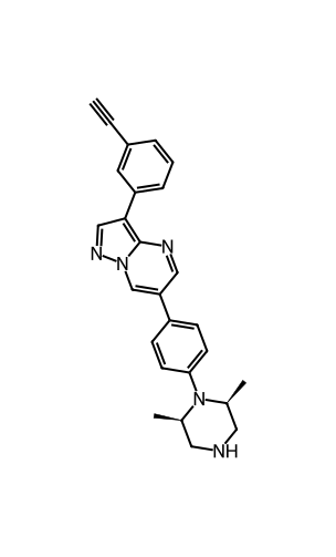 C#Cc1cccc(-c2cnn3cc(-c4ccc(N5[C@H](C)CNC[C@@H]5C)cc4)cnc23)c1